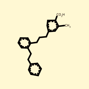 Cc1cc(CCCc2ccccc2CCc2ccccc2)ccc1C(=O)O